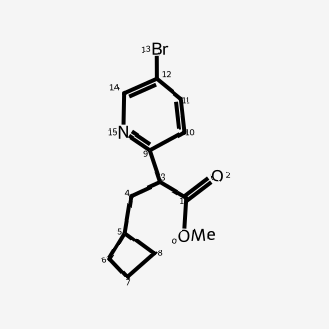 COC(=O)C(CC1CCC1)c1ccc(Br)cn1